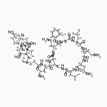 CC(C)C[C@@H]1NC(=O)[C@H](CCN)NC(=O)[C@H](CCN)NC(=O)[C@H](CC(C)C)NC(=O)[C@@H](Cc2ccccc2)NC(=O)[C@H](CCN)NC(=O)[C@@H](NC(=O)[C@@H](CCN)NC(=O)CC[C@@H](C)[C@H]2CC[C@H]3[C@@H]4[C@H](O)C[C@@H]5C[C@H](O)CC[C@]5(C)[C@H]4C[C@H](O)[C@]23C)CCNC1=O